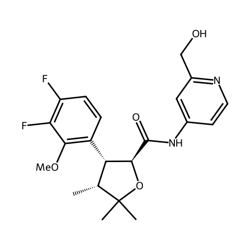 COc1c([C@@H]2[C@@H](C(=O)Nc3ccnc(CO)c3)OC(C)(C)[C@@H]2C)ccc(F)c1F